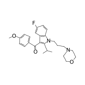 COc1ccc(C(=O)c2c(C(C)C)n(CCCN3CCOCC3)c3ccc(F)cc23)cc1